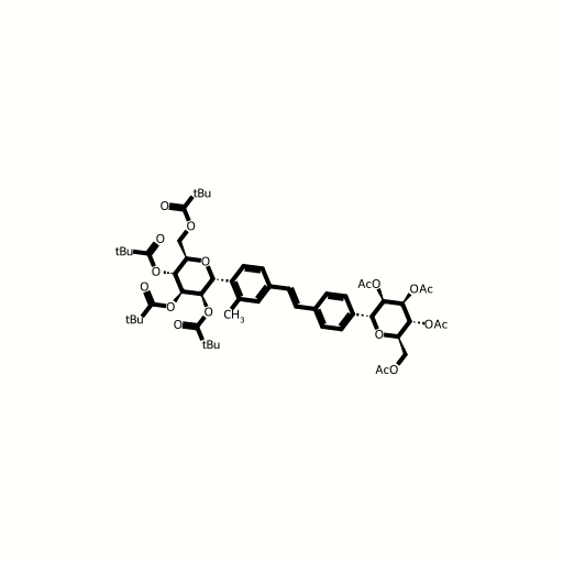 CC(=O)OC[C@H]1O[C@H](c2ccc(C=Cc3ccc([C@H]4O[C@H](COC(=O)C(C)(C)C)[C@@H](OC(=O)C(C)(C)C)[C@H](OC(=O)C(C)(C)C)[C@@H]4OC(=O)C(C)(C)C)c(C)c3)cc2)[C@@H](OC(C)=O)[C@@H](OC(C)=O)[C@@H]1OC(C)=O